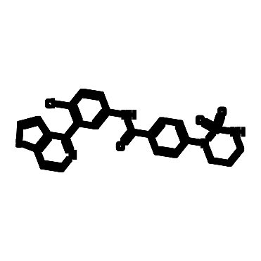 O=C(Nc1ccc(Cl)c(-c2nccc3sccc23)c1)c1ccc(N2CCCNS2(=O)=O)cc1